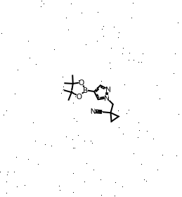 CC1(C)OB(c2cnn(CC3(C#N)CC3)c2)OC1(C)C